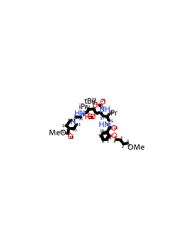 COCCCCOc1ccccc1C(=O)NCC(CC(NC(=O)OC(C)(C)C)C(O)CC(C(=O)NCCN1CCC(C(=O)OC)CC1)C(C)C)C(C)C